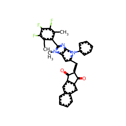 Cc1c(F)c(F)c(F)c(C)c1-c1nc2c(cc(C=C3C(=O)c4cc5ccccc5cc4C3=O)n2-c2ccccc2)n1C